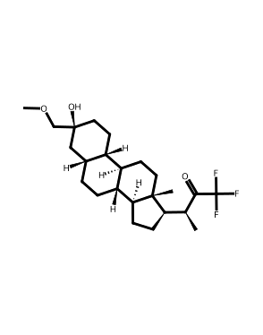 COC[C@]1(O)CC[C@H]2[C@H](CC[C@@H]3[C@@H]2CC[C@]2(C)[C@@H]([C@H](C)C(=O)C(F)(F)F)CC[C@@H]32)C1